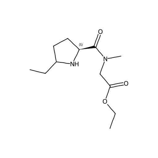 CCOC(=O)CN(C)C(=O)[C@@H]1CCC(CC)N1